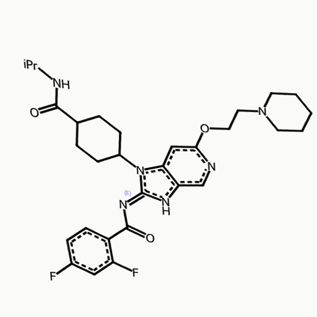 CC(C)NC(=O)C1CCC(n2/c(=N/C(=O)c3ccc(F)cc3F)[nH]c3cnc(OCCN4CCCCC4)cc32)CC1